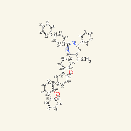 CCC1CC(c2ccccc2)=NC(c2ccc(-c3ccccc3)cc2)=NC1c1ccc2c3c(oc2c1)C=CC(c1cccc2c1oc1ccccc12)C3